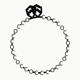 C1=CC2=CC(=C1)C21OCCOCCOCCOCCOCCCOCCOCCOCCOCCOCC12c1cccc2c1